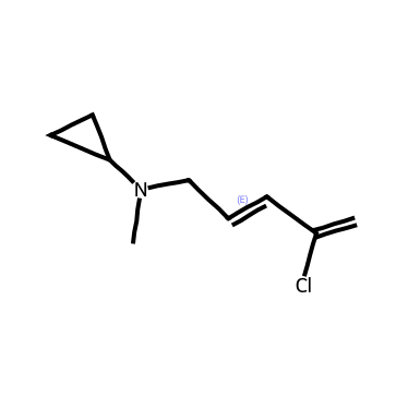 C=C(Cl)/C=C/CN(C)C1CC1